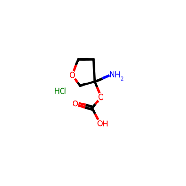 Cl.NC1(OC(=O)O)CCOC1